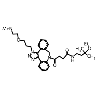 CCOC(C)(C)CCNC(=O)CCC(=O)N1Cc2ccccc2-c2c(nnn2CCCOCCNC)-c2ccccc21